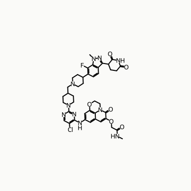 CNC(=O)COc1cc2cc(Nc3nc(N4CCC(CN5CCC(c6ccc7c(C8CCC(=O)NC8=O)nn(C)c7c6F)CC5)CC4)ncc3Cl)cc3c2n(c1=O)CCO3